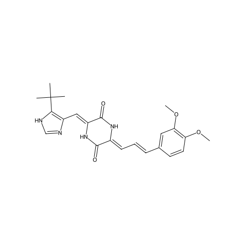 COc1ccc(/C=C/C=c2\[nH]c(=O)/c(=C/c3nc[nH]c3C(C)(C)C)[nH]c2=O)cc1OC